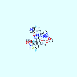 CC(C)(C)OC(=O)Nc1sc2c(F)ccc(-c3c(C(F)(F)F)c(OCCOC4CCCCO4)c4c(N[C@H](CCC(F)(F)F)c5cccnc5N)nc(OC[C@@]56CCCN5C[C@H](F)C6)nc4c3F)c2c1C#N